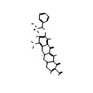 CCOP(=O)(OCC)C(Nc1cc(N(C)C)c2c(c1O)C(=O)C1=C(O)[C@]3(O)C(=O)C(C(N)=O)=C(O)C[C@@H]3C[C@@H]1C2)c1ccccc1